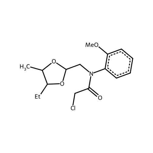 CCC1OC(CN(C(=O)CCl)c2ccccc2OC)OC1C